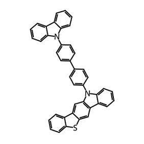 c1ccc2c(c1)sc1cc3c4ccccc4n(-c4ccc(-c5ccc(-n6c7ccccc7c7ccccc76)cc5)cc4)c3cc12